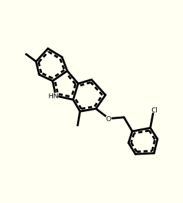 Cc1ccc2c(c1)[nH]c1c(C)c(OCc3ccccc3Cl)ccc12